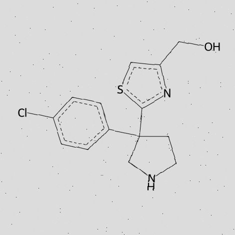 OCc1csc(C2(c3ccc(Cl)cc3)CCNC2)n1